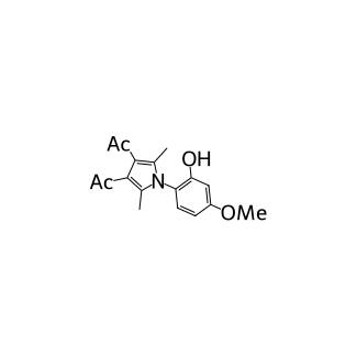 COc1ccc(-n2c(C)c(C(C)=O)c(C(C)=O)c2C)c(O)c1